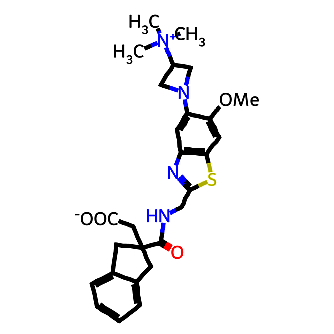 COc1cc2sc(CNC(=O)C3(CC(=O)[O-])Cc4ccccc4C3)nc2cc1N1CC([N+](C)(C)C)C1